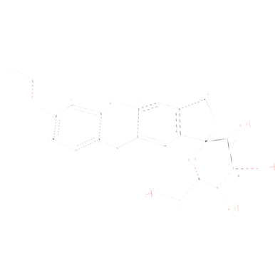 CCOc1ccc(Cc2cc3c(cc2Cl)COC32OC(CO)C(O)C(O)C2O)cc1